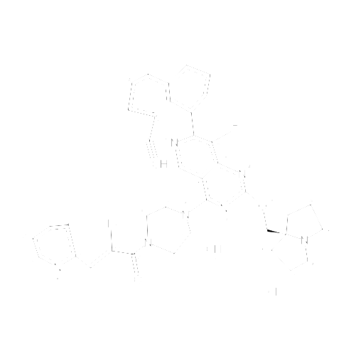 C#Cc1cccc2cccc(-c3ncc4c(N5CCN(C(=O)/C(F)=C/c6ccccn6)C[C@H]5C)nc(OC[C@@]56CCCN5C[C@H](F)C6)nc4c3F)c12